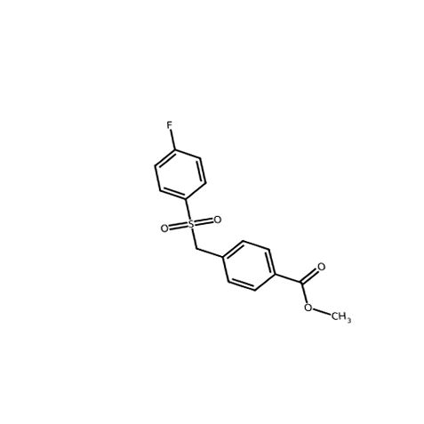 COC(=O)c1ccc(CS(=O)(=O)c2ccc(F)cc2)cc1